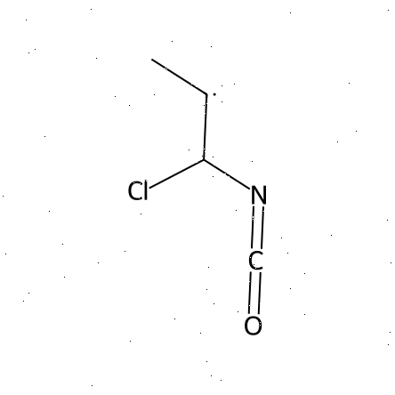 C[CH]C(Cl)N=C=O